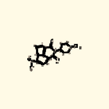 CN1CCC(N2C(=O)c3cccc4c([N+](=O)[O-])ccc(c34)C2=O)CC1